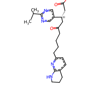 CC(C)c1ncc([C@H](CC(=O)O)CC(=O)CCCCc2ccc3c(n2)NCCC3)cn1